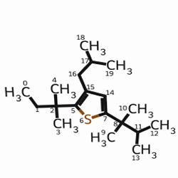 CCC(C)(C)c1sc(C(C)(C)C(C)C)cc1CC(C)C